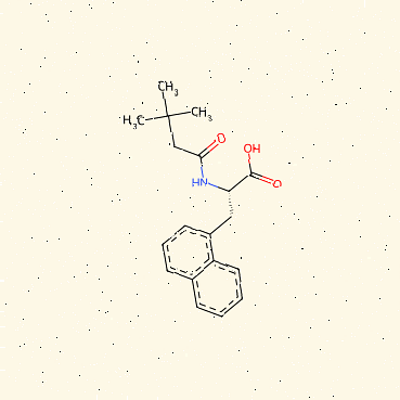 CC(C)(C)CC(=O)N[C@@H](Cc1cccc2ccccc12)C(=O)O